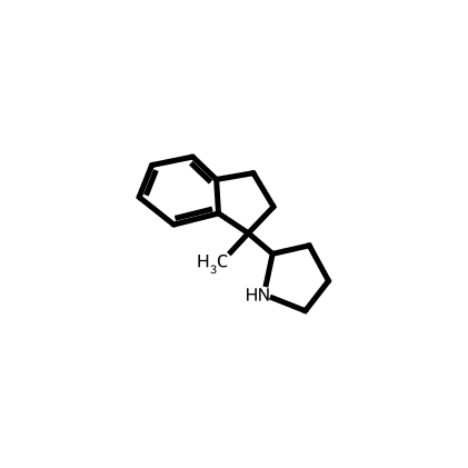 CC1(C2CCCN2)CCc2ccccc21